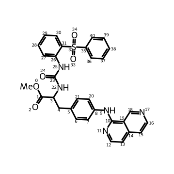 COC(=O)C(Cc1ccc(Nc2nccc3ccncc23)cc1)NC(=O)Nc1ccccc1S(=O)(=O)c1ccccc1